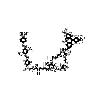 COc1cc(/N=N/c2ccc([N+](=O)[O-])cc2)c(OC)cc1/N=N/c1ccc(N(C)CCCC(=O)NCCCO[C@@H]2O[C@H](COCc3cn(CCCNC(=O)[C@@H](CCCCN)NC(=O)c4ccc(-c5c6ccc(=[N+](C)C)cc-6oc6cc(N(C)C)ccc56)c(C(=O)[O-])c4)nn3)[C@@H](O)[C@H](O)[C@H]2O)cc1